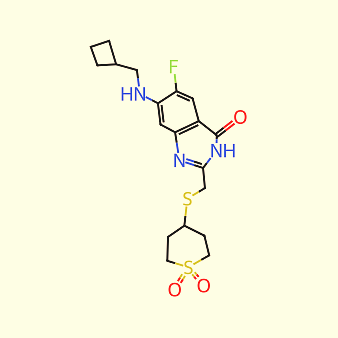 O=c1[nH]c(CSC2CCS(=O)(=O)CC2)nc2cc(NCC3CCC3)c(F)cc12